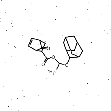 CC(OC(=O)C1CC2C=CC1C2=O)OC1C2CC3CC(C2)CC1C3